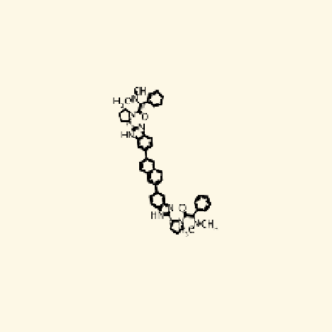 CN(C)[C@@H](C(=O)N1CCC[C@H]1c1nc2cc(-c3ccc4cc(-c5ccc6nc([C@@H]7CCCN7C(=O)[C@@H](c7ccccc7)N(C)C)[nH]c6c5)ccc4c3)ccc2[nH]1)c1ccccc1